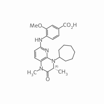 COc1cc(C(=O)O)ccc1Nc1ccc2c(n1)N(C1CCCCCC1)[C@H](C)C(=O)N2C